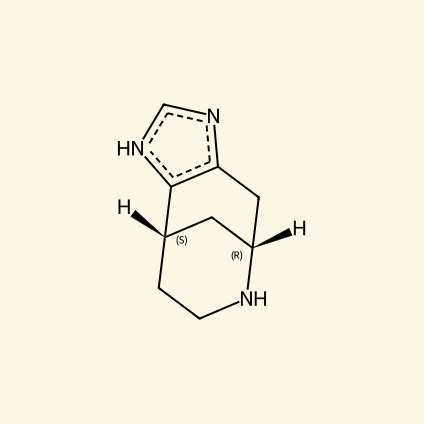 c1nc2c([nH]1)[C@H]1CCN[C@@H](C2)C1